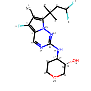 CC(C)(CC(F)F)c1c(C#N)c(F)c2cnc(N[C@@H]3CCOC[C@H]3O)nn12